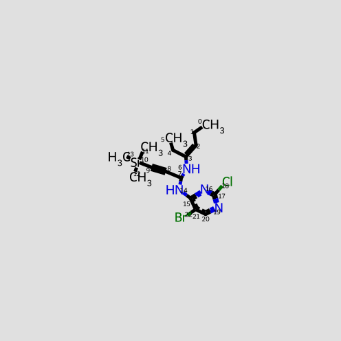 CC/C=C(\CC)NC(C#C[Si](C)(C)C)Nc1nc(Cl)ncc1Br